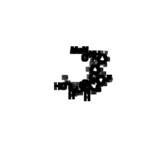 CNC(=O)NCc1ccccc1-c1ccc(CN2C(=O)[C@H](NC(=O)CC(C)(C)NC[C@@H](C)O)CSc3cc(F)ccc32)cc1